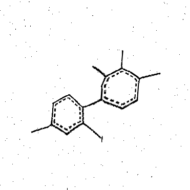 Cc1ccc(-c2ccc(C)c(C)c2C)c(I)c1